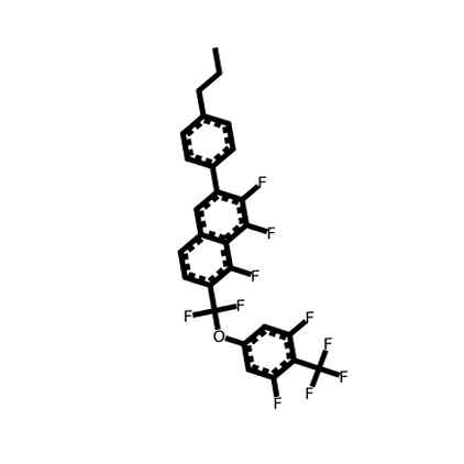 CCCc1ccc(-c2cc3ccc(C(F)(F)Oc4cc(F)c(C(F)(F)F)c(F)c4)c(F)c3c(F)c2F)cc1